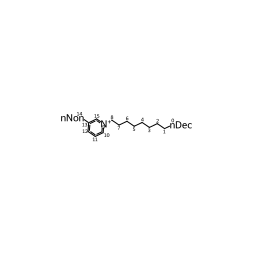 CCCCCCCCCCCCCCCCCC[n+]1cccc(CCCCCCCCC)c1